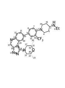 CCNC1CCN(c2ccc(-c3ccc4ncc5nnc(N6C[C@@H](C)O[C@@H](C)C6)n5c4c3)cc2C(F)(F)F)CC1